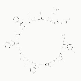 CCCC[C@H]1C(=O)N(C)[C@@H](CCCC)C(=O)N[C@@H](CCCNC(=N)N)C(=O)N[C@H](C(=O)NCC(N)=O)CSCC(=O)N[C@@H](Cc2ccc(O)cc2)C(=O)N(C)[C@@H](C)C(=O)N[C@@H](CC(N)=O)C(=O)N2CCC[C@H]2C(=O)N[C@@H](Cc2cccnc2)C(=O)N[C@@H](CC(C)C)C(=O)N2C[C@H](O)CC2C(=O)N[C@@H](Cc2c[nH]c3ccccc23)C(=O)N[C@@H](CO)C(=O)N[C@@H](Cc2c[nH]c3ccccc23)C(=O)N1C